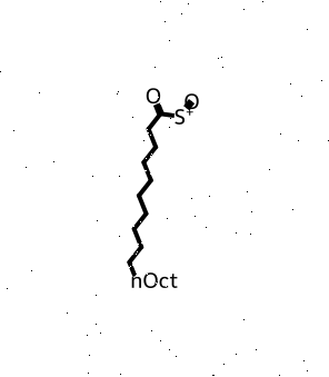 CCCCCCCCCCCCCCCCCC(=O)[S+]=O